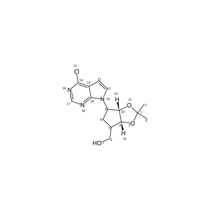 CC1(C)O[C@@H]2C(CO)CC(n3ccc4c(Cl)ncnc43)[C@@H]2O1